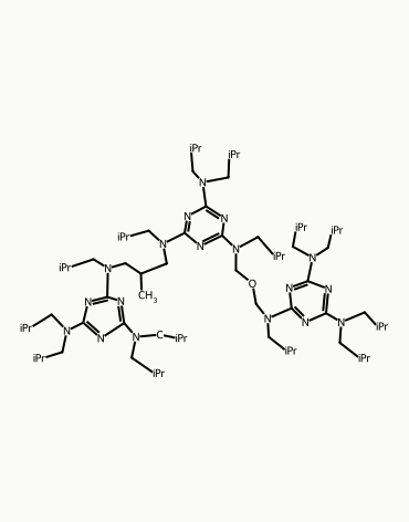 CC(C)CN(COCN(CC(C)C)c1nc(N(CC(C)C)CC(C)C)nc(N(CC(C)C)CC(C)CN(CC(C)C)c2nc(N(CC(C)C)CC(C)C)nc(N(CC(C)C)CC(C)C)n2)n1)c1nc(N(CC(C)C)CC(C)C)nc(N(CC(C)C)CC(C)C)n1